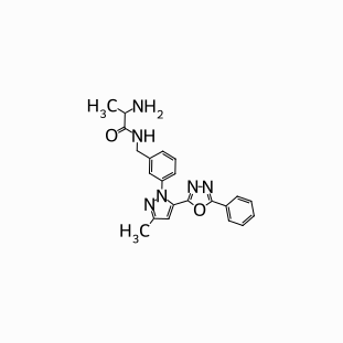 Cc1cc(-c2nnc(-c3ccccc3)o2)n(-c2cccc(CNC(=O)C(C)N)c2)n1